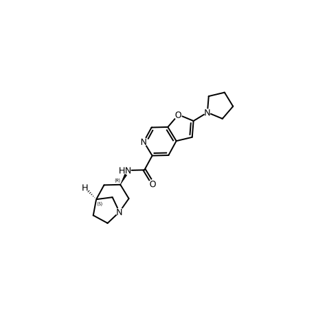 O=C(N[C@@H]1C[C@@H]2CCN(C2)C1)c1cc2cc(N3CCCC3)oc2cn1